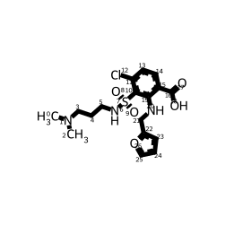 CN(C)CCCNS(=O)(=O)c1c(Cl)ccc(C(=O)O)c1NCc1ccco1